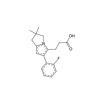 CC1(C)Cc2cc(-c3ccccc3F)c(CCC(=O)O)n2C1